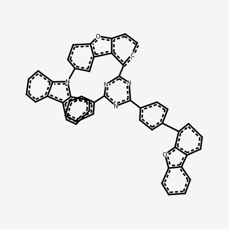 c1ccc(-c2nc(-c3ccc(-c4cccc5c4oc4ccccc45)cc3)nc(-c3cccc4oc5ccc(-n6c7ccccc7c7ccccc76)cc5c34)n2)cc1